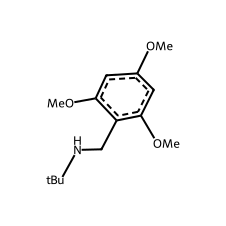 COc1cc(OC)c(CNC(C)(C)C)c(OC)c1